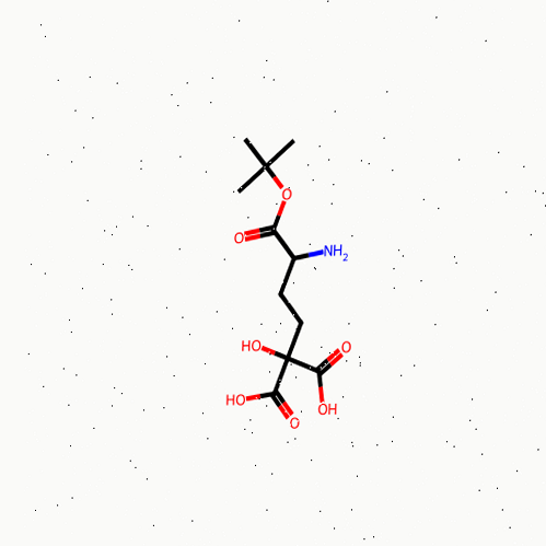 CC(C)(C)OC(=O)C(N)CCC(O)(C(=O)O)C(=O)O